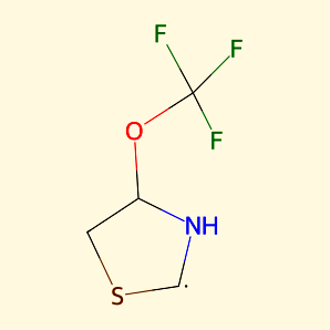 FC(F)(F)OC1CS[CH]N1